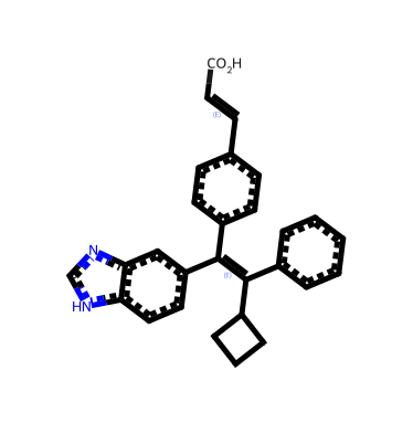 O=C(O)/C=C/c1ccc(/C(=C(\c2ccccc2)C2CCC2)c2ccc3[nH]cnc3c2)cc1